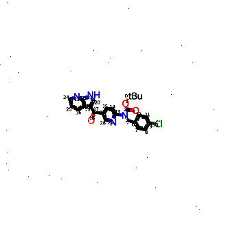 CC(C)(C)OC(=O)N(Cc1ccc(Cl)cc1)c1ccc(C(=O)c2c[nH]c3ncccc23)cn1